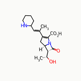 CC(=CC1CCCCN1)C1=C(C(=O)O)N2C(=O)[C@H]([C@@H](C)O)[C@H]2C1